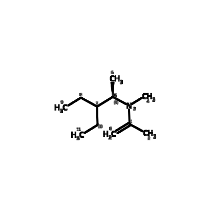 C=C(C)N(C)[C@H](C)C(CC)CC